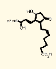 CCCCCC(O)/C=C/C1C(C/C=C\CCCC(=O)O)C(=O)C[C@H]1O